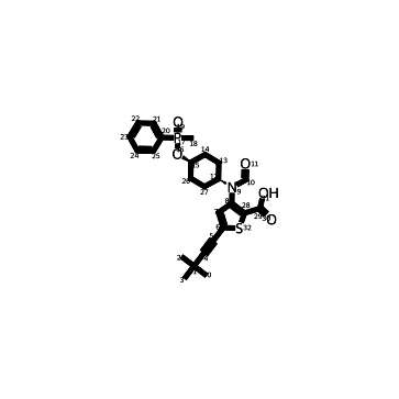 CC(C)(C)C#Cc1cc(N(C=O)[C@H]2CC[C@H](OP(C)(=O)c3ccccc3)CC2)c(C(=O)O)s1